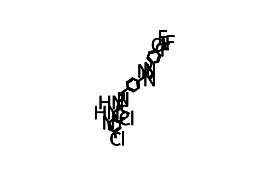 FC(F)(F)Oc1ccc(-n2cnc(-c3ccc(/C=N/NC(=S)Nc4ncc(Cl)cc4Cl)cc3)n2)cc1